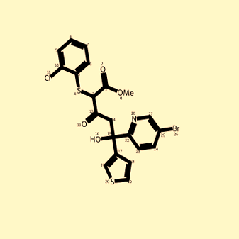 COC(=O)C(Sc1ccccc1Cl)C(=O)CC(O)(c1ccsc1)c1ccc(Br)cn1